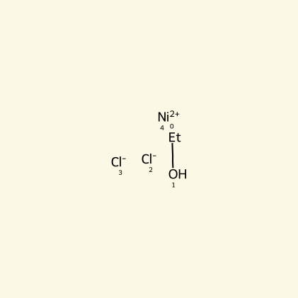 CCO.[Cl-].[Cl-].[Ni+2]